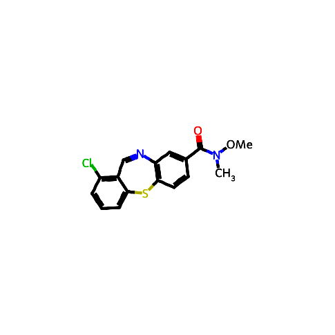 CON(C)C(=O)c1ccc2c(c1)N=Cc1c(Cl)cccc1S2